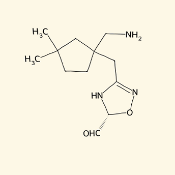 CC1(C)CCC(CN)(CC2=NO[C@H](C=O)N2)C1